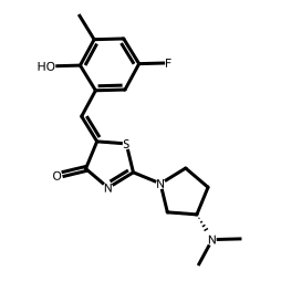 Cc1cc(F)cc(/C=C2\SC(N3CC[C@H](N(C)C)C3)=NC2=O)c1O